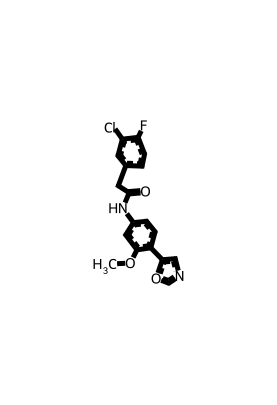 COc1cc(NC(=O)Cc2ccc(F)c(Cl)c2)ccc1-c1cnco1